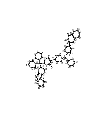 CN1CC(C2(c3ccccc3)c3ccccc3-c3c2ccc2c3sc3ccccc32)=CC=C1c1ccc(N(c2ccccc2)c2ccc(-c3ccc4ccccc4c3)cc2)cn1